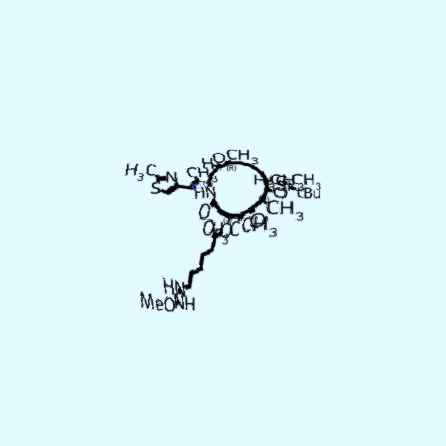 CONNCCCCCC(=O)O[C@H]1CC(=O)N[C@H](/C(C)=C/c2csc(C)n2)C[C@@H]2O[C@]2(C)CCC[C@H](C)[C@H](O[Si](C)(C)C(C)(C)C)[C@@H](C)C(=O)C1(C)C